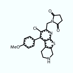 COc1ccc(-c2c(Cl)c(CN3C(=O)CCC3=O)nc3sc4c(c23)CCNC4)cc1